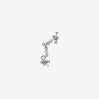 N=S(=O)(c1cccc(OC2CC3(C2)CN(C(=O)N2CC4(CC(c5nc(C6CC6)n[nH]5)C4)C2)C3)c1)C(F)(F)F